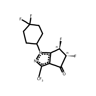 O=C1c2c(C(F)(F)F)nn(C3CCC(F)(F)CC3)c2[C@@H](F)[C@@H]1F